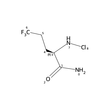 NC(=O)[C@@H](CCC(F)(F)F)NCl